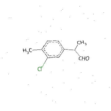 Cc1ccc(C(C)C=O)cc1Cl